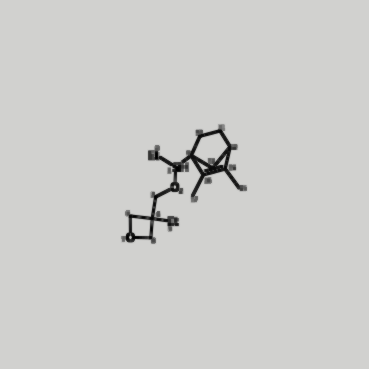 CC[SiH](OCC1(CC)COC1)C12CCC(C1)C(C)=C2C